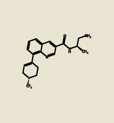 C[C@H](CN)NC(=O)c1cnc2c(C3=CC[C@@H](C(F)(F)F)CC3)cccc2c1